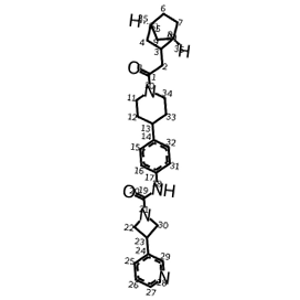 O=C(CC1C[C@H]2CC[C@H]1C2)N1CCC(c2ccc(NC(=O)N3CC(c4cccnc4)C3)cc2)CC1